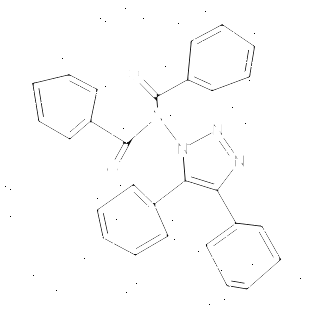 O=C(c1ccccc1)N(C(=O)c1ccccc1)n1nnc(-c2ccccc2)c1-c1ccccc1